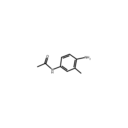 CC(=O)Nc1ccc(N)c(C)c1